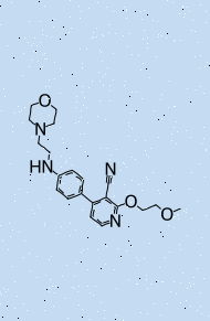 COCCOc1nccc(-c2ccc(NCCN3CCOCC3)cc2)c1C#N